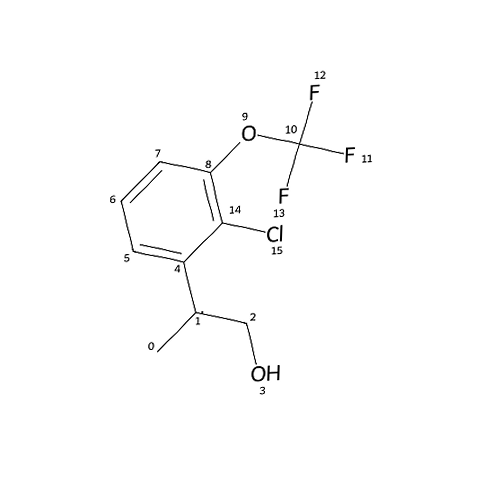 C[C](CO)c1cccc(OC(F)(F)F)c1Cl